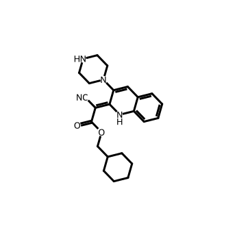 N#CC(C(=O)OCC1CCCCC1)=C1Nc2ccccc2C=C1N1CCNCC1